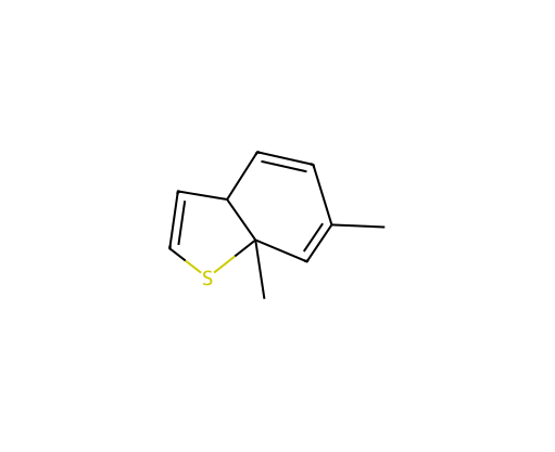 CC1=CC2(C)SC=CC2C=C1